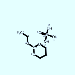 FC(F)(F)COP1OCCCO1.O=P(O)(O)O